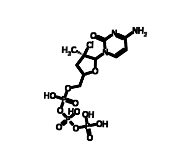 C[C@@]1(Cl)CC(COP(=O)(O)OP(=O)(O)OP(=O)(O)O)OC1n1ccc(N)nc1=O